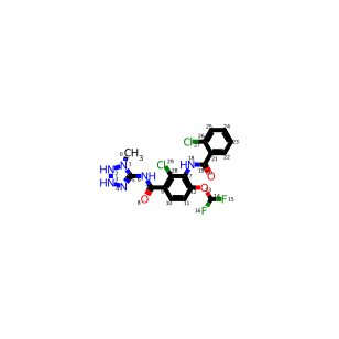 CN1NNN=C1NC(=O)c1ccc(OC(F)F)c(NC(=O)c2ccccc2Cl)c1Cl